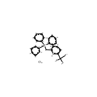 FC(F)(F)c1cccc(C[P+](c2ccccc2)(c2ccccc2)c2ccccc2)n1.[Cl-]